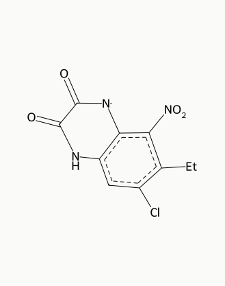 CCc1c(Cl)cc2c(c1[N+](=O)[O-])[N]C(=O)C(=O)N2